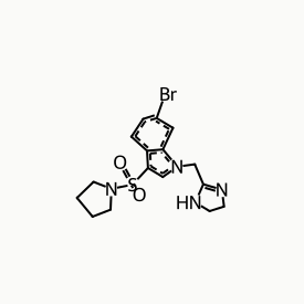 O=S(=O)(c1cn(CC2=NCCN2)c2cc(Br)ccc12)N1CCCC1